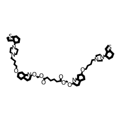 O=C(CCCCC(=O)OCOc1ccc2ccc(OCCCCN3CCN(c4cccc5sccc45)CC3)cc2n1)OCOc1ccc2ccc(OCCCCN3CCN(c4cccc5sccc45)CC3)cc2n1